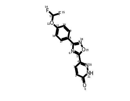 O=c1ccc(-c2nc(-c3ccc(OC(F)F)cc3)no2)n[nH]1